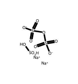 O=S(=O)(O)O.O=S(=O)([O-])OS(=O)(=O)[O-].[Na+].[Na+]